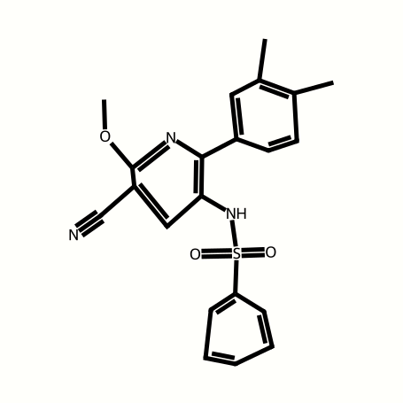 COc1nc(-c2ccc(C)c(C)c2)c(NS(=O)(=O)c2ccccc2)cc1C#N